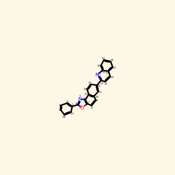 c1ccc(-c2nc3c(ccc4cc(-c5ccc6ccccc6n5)ccc43)o2)cc1